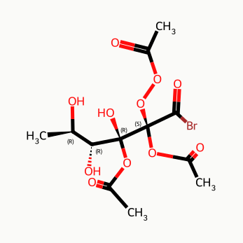 CC(=O)OO[C@](OC(C)=O)(C(=O)Br)[C@](O)(OC(C)=O)[C@H](O)[C@@H](C)O